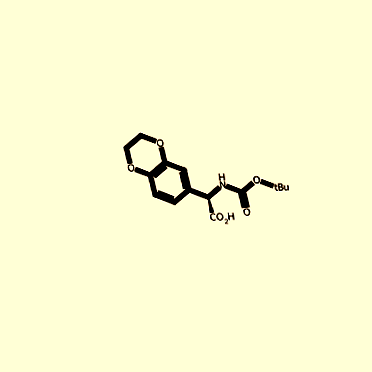 CC(C)(C)OC(=O)N[C@@H](C(=O)O)c1ccc2c(c1)OCCO2